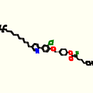 CCCCCCCCCCc1ccc(-c2ccc(OC[C@H]3CC[C@H](OC(=O)[C@@H](F)CCCC)CC3)c(Cl)c2)nc1